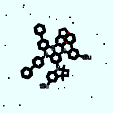 CC(C)(C)c1ccc(N2c3cc4c(cc3B3c5cc(-c6ccccc6)ccc5N(c5ccc(-c6ccccc6)cc5)c5cc(N6c7ccc(C(C)(C)C)cc7C7(C)CCC67C)cc2c53)CCC4)c(-c2ccccc2)c1